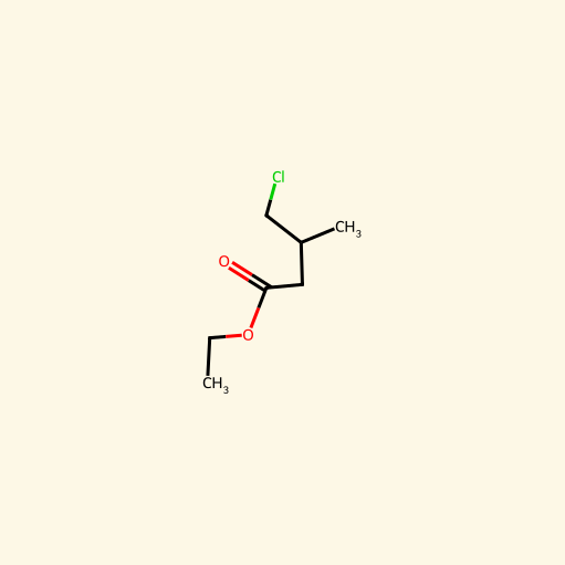 CCOC(=O)CC(C)CCl